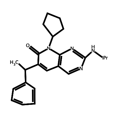 CC(C)Nc1ncc2cc(C(C)c3ccccc3)c(=O)n(C3CCCC3)c2n1